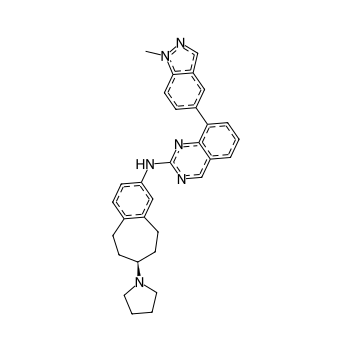 Cn1ncc2cc(-c3cccc4cnc(Nc5ccc6c(c5)CC[C@@H](N5CCCC5)CC6)nc34)ccc21